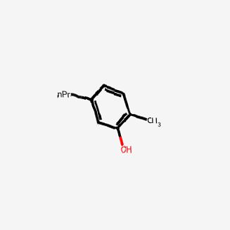 CCCc1ccc(C)c(O)c1